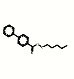 [CH2]CCCCOOC(=O)c1ccc(-c2ccccc2)cc1